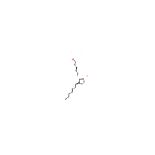 CCCCCC(=O)CC=C1CC[C@@H](O)[C@@H]1CCCCCCC(=O)OCC